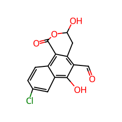 O=Cc1c2c(c3ccc(Cl)cc3c1O)C(=O)OC(O)C2